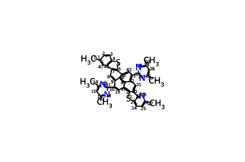 Cc1ccc2sc3c(cc4c(-c5nc(C)cc(C)n5)cc5c6sc7ccc(C)nc7c6cc6c(-c7nc(C)cc(C)n7)cc3c4c65)c2c1